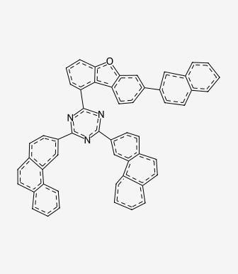 c1ccc2cc(-c3ccc4c(c3)oc3cccc(-c5nc(-c6ccc7ccc8ccccc8c7c6)nc(-c6ccc7ccc8ccccc8c7c6)n5)c34)ccc2c1